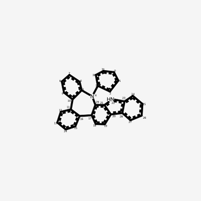 c1ccc(N2c3ccccc3-c3ccccc3-c3ccc4c([nH]c5ccccc54)c32)cc1